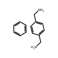 NCc1ccc(CN)cc1.c1ccccc1